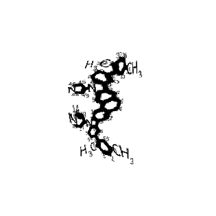 Cc1ccc(C)c(C2=Cc3c(n(-c4ccncc4)c4cc5c(cc34)CCc3cc4c6cc(-c7cc(C)ccc7C)ccc6n(-c6ccncc6)c4cc3-5)CC2)c1